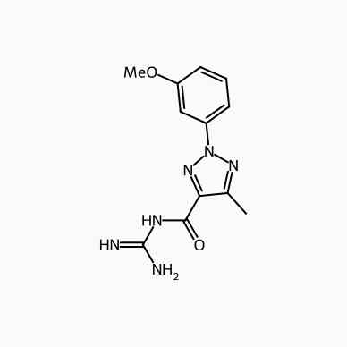 COc1cccc(-n2nc(C)c(C(=O)NC(=N)N)n2)c1